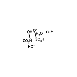 O.O=C(O)O.O=S(=O)([O-])O.[Cu+2].[OH-]